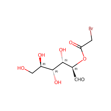 O=C[C@H](OC(=O)CBr)[C@@H](O)[C@H](O)[C@H](O)CO